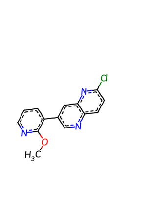 COc1ncccc1-c1cnc2ccc(Cl)nc2c1